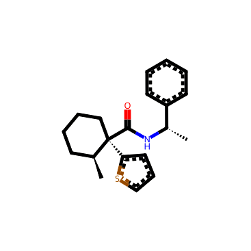 C[C@H](NC(=O)[C@]1(c2cccs2)CCCC[C@@H]1C)c1ccccc1